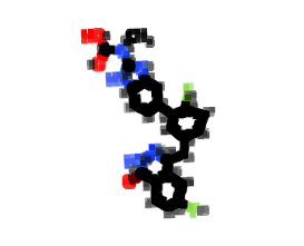 CN(C(=O)O)c1nc2cc(-c3cc(Cc4n[nH]c(=O)c5ccc(F)cc45)ccc3F)ccc2[nH]1